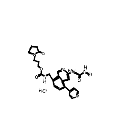 CCNC(=O)Nc1cc2c(-c3ccncc3)ccc(CNC(=O)OCCCN3CCCC3=O)c2cn1.Cl